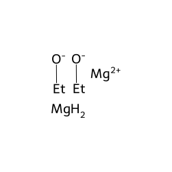 CC[O-].CC[O-].[Mg+2].[MgH2]